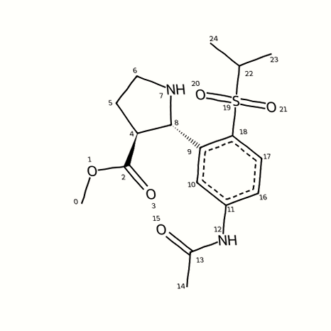 COC(=O)[C@H]1CCN[C@@H]1c1cc(NC(C)=O)ccc1S(=O)(=O)C(C)C